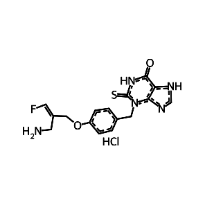 Cl.NC/C(=C\F)COc1ccc(Cn2c(=S)[nH]c(=O)c3[nH]cnc32)cc1